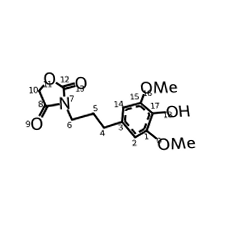 COc1cc(CCCN2C(=O)COC2=O)cc(OC)c1O